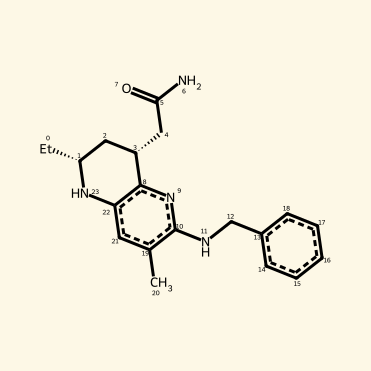 CC[C@@H]1C[C@H](CC(N)=O)c2nc(NCc3ccccc3)c(C)cc2N1